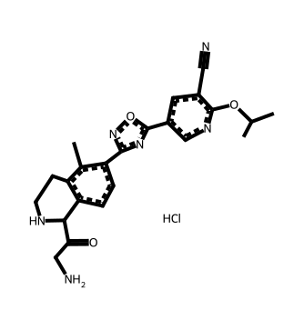 Cc1c(-c2noc(-c3cnc(OC(C)C)c(C#N)c3)n2)ccc2c1CCNC2C(=O)CN.Cl